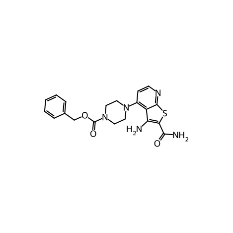 NC(=O)c1sc2nccc(N3CCN(C(=O)OCc4ccccc4)CC3)c2c1N